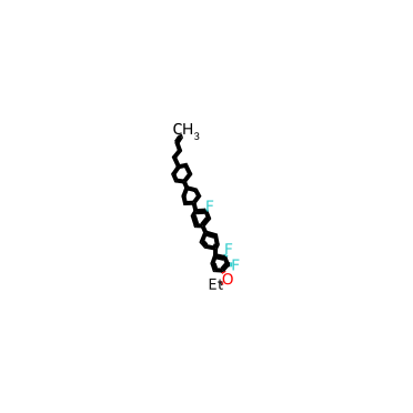 C/C=C/CCC1CCC(C2CCC(c3ccc(-c4ccc(-c5ccc(OCC)c(F)c5F)cc4)cc3F)CC2)CC1